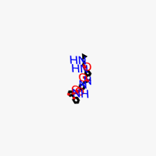 CN(CCN1CCC(OC(=O)Nc2ccccc2-c2ccccc2)CC1)C(=O)c1cccc(NC(=O)CCNC2CC2)c1